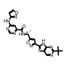 C[C@@H](NC(=O)c1cc(Nc2ccon2)ncn1)c1cc(-c2nc3cnc(C(C)(C)C)nc3[nH]2)no1